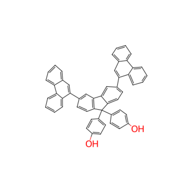 Oc1ccc(C2(c3ccc(O)cc3)c3ccc(-c4cc5ccccc5c5ccccc45)cc3-c3cc(-c4cc5ccccc5c5ccccc45)ccc32)cc1